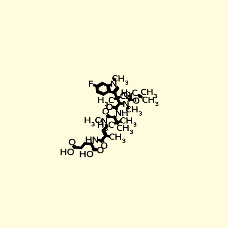 C/C(=C\CN(C)C(=O)C(NC(=O)C(N(C)C(=O)OC(C)(C)C)C(C)(C)c1cn(C)c2cc(F)ccc12)C(C)(C)C)C(=O)NC(CCC(=O)O)C(=O)O